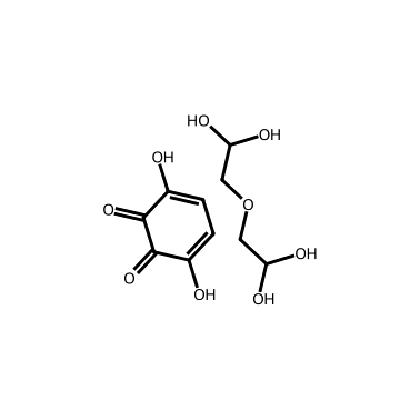 O=C1C(=O)C(O)=CC=C1O.OC(O)COCC(O)O